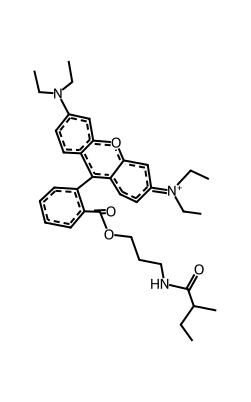 CCC(C)C(=O)NCCCOC(=O)c1ccccc1-c1c2ccc(=[N+](CC)CC)cc-2oc2cc(N(CC)CC)ccc12